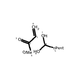 C=CC(=O)OC.CCCCCC(O)O